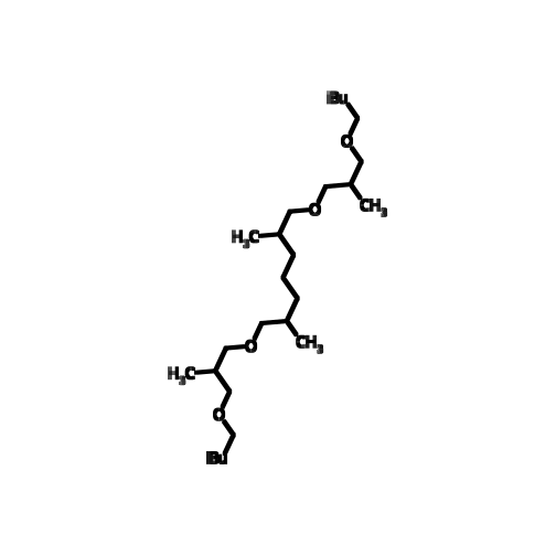 CCC(C)COCC(C)COCC(C)CCCC(C)COCC(C)COCC(C)CC